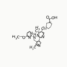 CCOc1ccnc(NCc2c(-c3ncc(O[C@H]4CCC[C@H](C(=O)O)C4)c(C)n3)cnn2C)n1